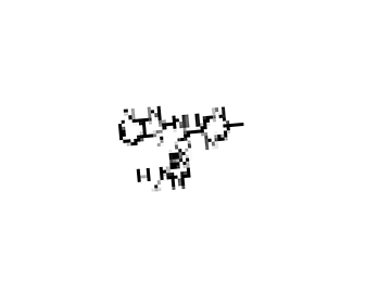 C#N.C#N.C=NN.Cc1cnc(C(=O)Nc2nc3ncccc3s2)cn1